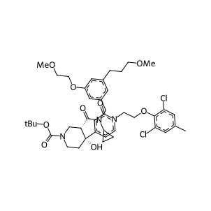 COCCCc1cc(CN(C(=O)[C@H]2CN(C(=O)OC(C)(C)C)CC[C@]2(O)c2ccn(CCOc3c(Cl)cc(C)cc3Cl)c(=O)c2)C2CC2)cc(OCCOC)c1